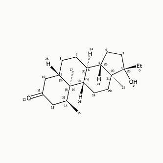 CC[C@]1(O)CC[C@H]2[C@@H]3CC[C@H]4CC(=O)C[C@H](C)[C@]4(C)[C@H]3CC[C@@]21C